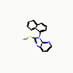 CCCCSc1nc2cccnc2n1-c1cccc2ccccc12